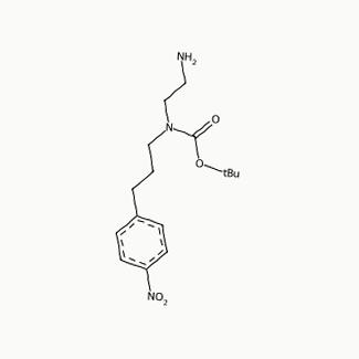 CC(C)(C)OC(=O)N(CCN)CCCc1ccc([N+](=O)[O-])cc1